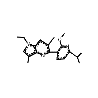 CCn1cc(C)c2nc(-c3ccc(C(C)C)nc3OC)c(C)cc21